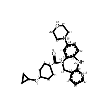 O=C([C@H]1CC[C@H](OC2CC2)CC1)N1Cc2cccnc2Nc2ccc(N3CCOCC3)cc21